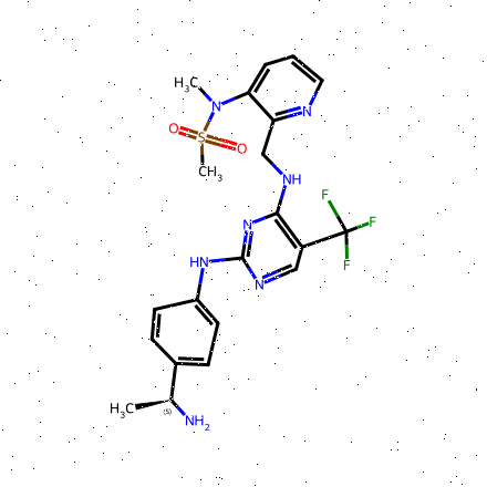 C[C@H](N)c1ccc(Nc2ncc(C(F)(F)F)c(NCc3ncccc3N(C)S(C)(=O)=O)n2)cc1